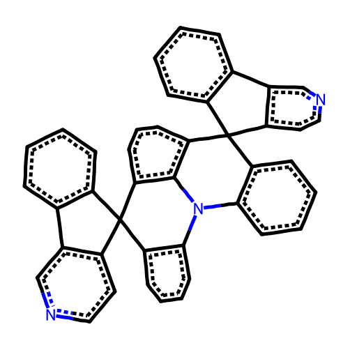 c1ccc2c(c1)-c1cnccc1C21c2ccccc2N2c3ccccc3C3(c4ccccc4-c4cnccc43)c3cccc1c32